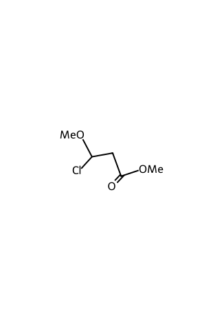 COC(=O)CC(Cl)OC